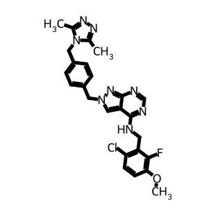 COc1ccc(Cl)c(CNc2ncnc3nn(Cc4ccc(Cn5c(C)nnc5C)cc4)cc23)c1F